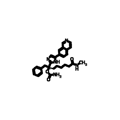 CNC(=O)CCCCC[C@@](Cc1ccccc1)(OC(N)=O)c1ncc(-c2ccc3ccncc3c2)[nH]1